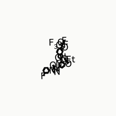 CCS(=O)(=O)c1ccc(-n2ncn(-c3cccc(F)c3)c2=O)nc1-c1nc2cc(S(=O)(=O)C(F)(F)C(F)(F)F)ccc2o1